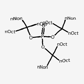 CCCCCCCCCC(CCCCCCCC)(CCCCCCCC)OP(=O)(OC(CCCCCCCC)(CCCCCCCC)CCCCCCCCC)OC(CCCCCCCC)(CCCCCCCC)CCCCCCCCC